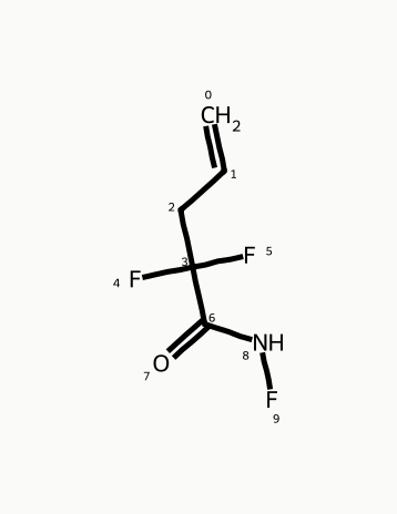 C=CCC(F)(F)C(=O)NF